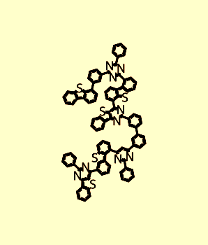 c1ccc(-c2nc(-c3cccc(-c4cccc(-c5nc(-c6cccc7c6sc6cccc(-c8nc(-c9ccccc9)nc(-c9cccc(-c%10cccc%11c%10sc%10ccccc%10%11)c9)n8)c67)c6sc7ccccc7c6n5)c4)c3)cc(-c3cccc4sc5c(-c6nc(-c7ccccc7)nc7c6sc6ccccc67)cccc5c34)n2)cc1